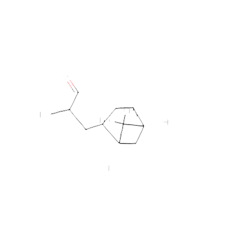 CC(C=O)CC1CC[C@H]2C[C@@H]1C2(C)C